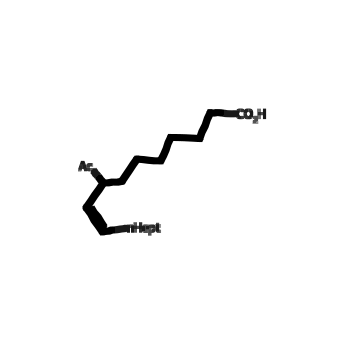 CCCCCCC/C=C\C(CCCCCCC(=O)O)C(C)=O